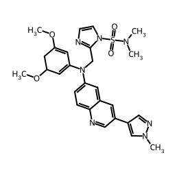 COC1=CC(N(Cc2nccn2S(=O)(=O)N(C)C)c2ccc3ncc(-c4cnn(C)c4)cc3c2)=CC(OC)C1